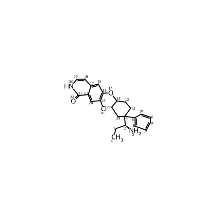 CC[C@H](N)C1(c2ccccc2)CCC(Oc2cc3cc[nH]c(=O)c3cc2Cl)CC1